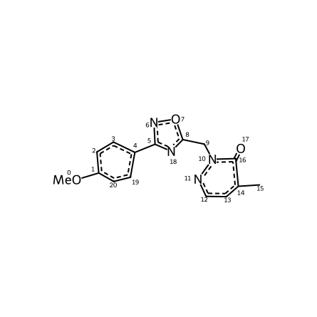 COc1ccc(-c2noc(Cn3nccc(C)c3=O)n2)cc1